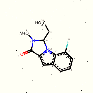 CON1C(=O)c2cc3cccc(F)c3n2C1CC(=O)O